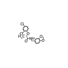 C[C@H](Oc1ccc(Cl)cc1Cl)C(=O)NCc1ccc2c(c1)OCO2